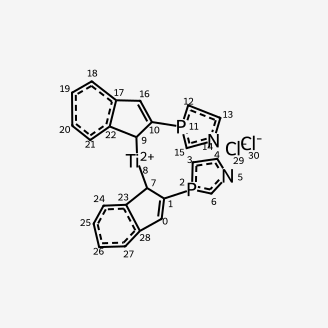 C1=C(p2ccnc2)[CH]([Ti+2][CH]2C(p3ccnc3)=Cc3ccccc32)c2ccccc21.[Cl-].[Cl-]